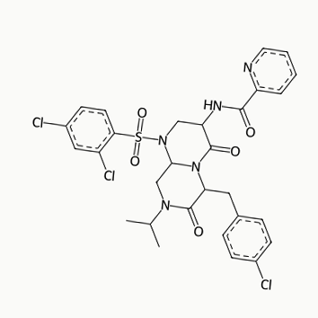 CC(C)N1CC2N(C(=O)C(NC(=O)c3ccccn3)CN2S(=O)(=O)c2ccc(Cl)cc2Cl)C(Cc2ccc(Cl)cc2)C1=O